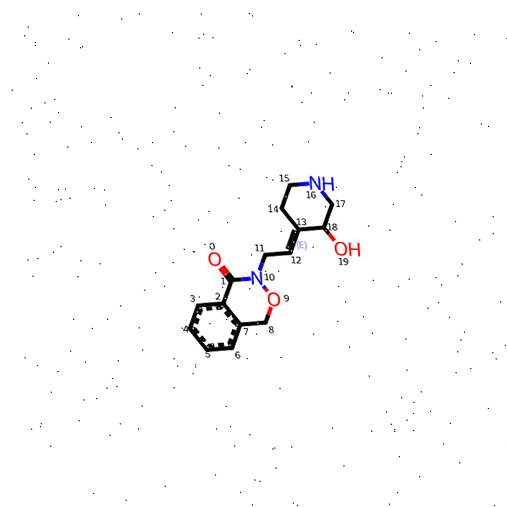 O=C1c2ccccc2CON1C/C=C1\CCNCC1O